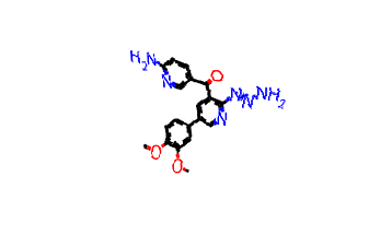 COc1ccc(-c2cnc(N=NN)c(C(=O)c3ccc(N)nc3)c2)cc1OC